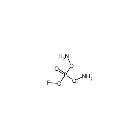 NOP(=O)(ON)OF